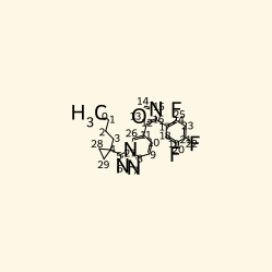 CCCCC1(c2nnc3ccc(-c4ocnc4-c4cc(F)c(F)cc4F)cn23)CC1